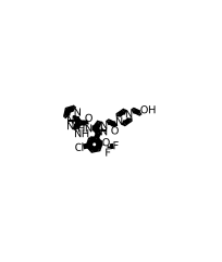 Nc1nn2cccnc2c1C(=O)Nc1cn(CC(=O)N2CCN(CCO)CC2)nc1-c1cc(Cl)ccc1OC(F)F